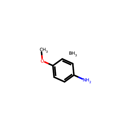 B.COc1ccc(N)cc1